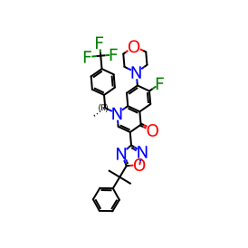 C[C@H](c1ccc(C(F)(F)F)cc1)n1cc(-c2noc(C(C)(C)c3ccccc3)n2)c(=O)c2cc(F)c(N3CCOCC3)cc21